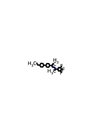 CCCC1CCC(C2CCC(/C(=C/C=C(\C)c3cc(F)c(F)c(F)c3)CC)CC2)CC1